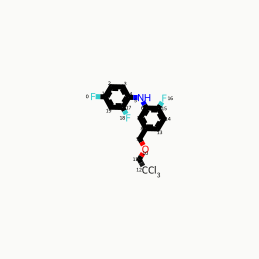 Fc1ccc(Nc2cc(COCC(Cl)(Cl)Cl)ccc2F)c(F)c1